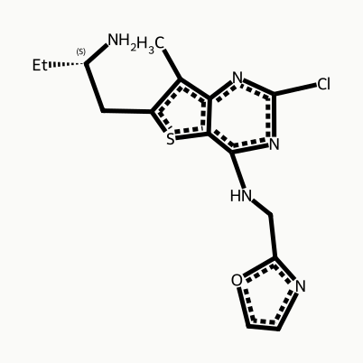 CC[C@H](N)Cc1sc2c(NCc3ncco3)nc(Cl)nc2c1C